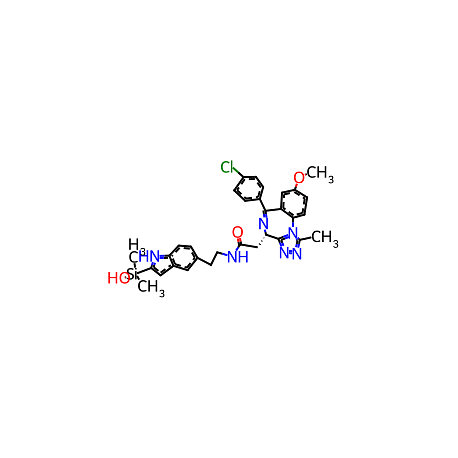 COc1ccc2c(c1)C(c1ccc(Cl)cc1)=N[C@@H](CC(=O)NCCc1ccc3[nH]c([Si](C)(C)O)cc3c1)c1nnc(C)n1-2